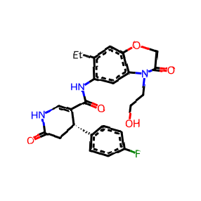 CCc1cc2c(cc1NC(=O)C1=CNC(=O)C[C@H]1c1ccc(F)cc1)N(CCO)C(=O)CO2